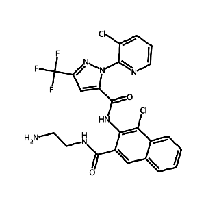 NCCNC(=O)c1cc2ccccc2c(Cl)c1NC(=O)c1cc(C(F)(F)F)nn1-c1ncccc1Cl